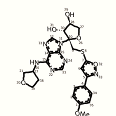 COc1ccc(-c2cc(SC[C@]3(n4cnc5c(NC6CCOC6)ncnc54)OC[C@H](O)[C@H]3O)on2)cc1